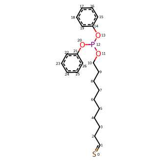 S=CCCCCCCCCCOP(Oc1ccccc1)Oc1ccccc1